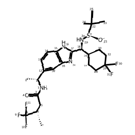 C[C@@H](NC(=O)C[C@H](C)C(F)(F)F)c1ccc2[nH]c([C@@H](N[S@+]([O-])C(C)(C)C)C3CCC(F)(F)CC3)nc2c1